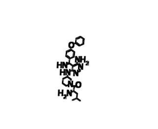 CC(C)CC(N)C(=O)N1CCCC(Nc2ncnc(N)c2C(=N)c2ccc(Oc3ccccc3)cc2)C1